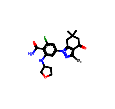 CC1(C)CC(=O)c2c(C(F)(F)F)nn(-c3cc(F)c(C(N)=O)c(NC4CCOC4)c3)c2C1